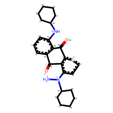 NN(c1cccc2c1C(=O)c1cccc(NC3CCCCC3)c1C2=O)C1CCCCC1